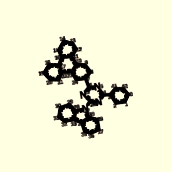 c1ccc(-c2nc(-c3ccc4c5ccccc5c5ccccc5c4c3)nc(-n3c4ccccc4c4ccccc43)n2)cc1